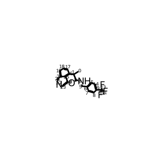 CC(C(=O)NCc1ccc(C(F)(F)F)cc1)c1cccc2cnccc12